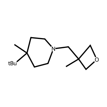 CC1(CN2CCC(C)(C(C)(C)C)CC2)COC1